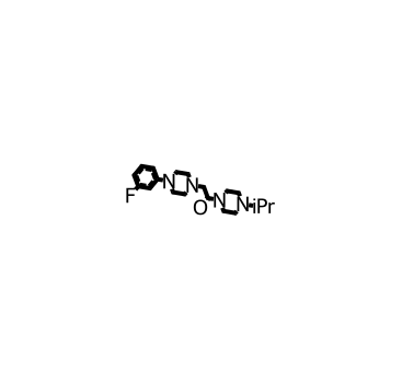 CC(C)N1CCN(C(=O)CN2CCN(c3cccc(F)c3)CC2)CC1